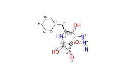 [N-]=[N+]=NC[C@@H](O)[C@H](CC1CCCCC1)Nc1c(O)c(=O)c1=O